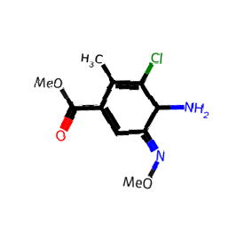 CON=C1C=C(C(=O)OC)C(C)=C(Cl)C1N